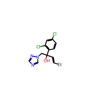 CCC=CC(O)(Cn1cncn1)c1ccc(Cl)cc1Cl